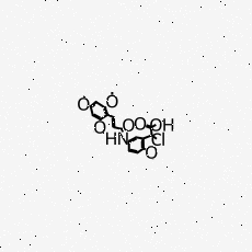 COc1cc(OC)c(C=CC(=O)Nc2ccc(OC)c(C(Cl)C(=O)O)c2)c(OC)c1